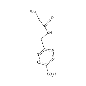 CC(C)(C)OC(=O)NCc1ncc(C(=O)O)cn1